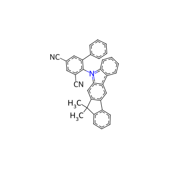 CC1(C)c2ccccc2-c2cc3c4ccccc4n(-c4c(C#N)cc(C#N)cc4-c4ccccc4)c3cc21